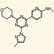 Cc1ccn(-c2nc(-c3ccc(N)nc3)nc(N3CCOCC3)n2)n1